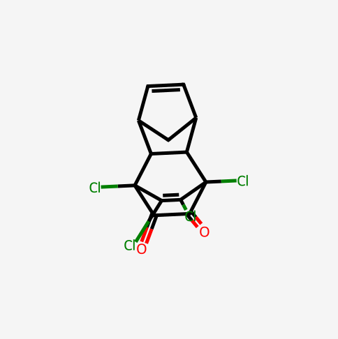 O=C1C(=O)C2(Cl)C(Cl)=C(Cl)C1(Cl)C1C3C=CC(C3)C12